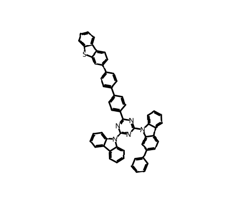 c1ccc(-c2ccc3c4ccccc4n(-c4nc(-c5ccc(-c6ccc(-c7ccc8c(c7)sc7ccccc78)cc6)cc5)nc(-n5c6ccccc6c6ccccc65)n4)c3c2)cc1